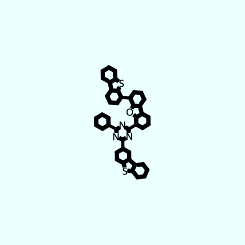 c1ccc(-c2nc(-c3ccc4sc5ccccc5c4c3)nc(-c3cccc4c3oc3c(-c5cccc6c5sc5ccccc56)cccc34)n2)cc1